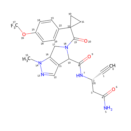 C#C[C@H](CC(N)=O)NC(=O)C1c2cnn(C)c2CN1C(=O)C1(c2ccc(OC(F)(F)F)cc2)CC1